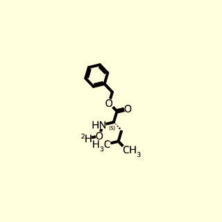 [2H]ON[C@@H](CC(C)C)C(=O)OCc1ccccc1